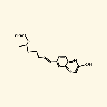 CCCCCOC(C)CCC/C=C/c1ccc2nc(O)cnc2c1